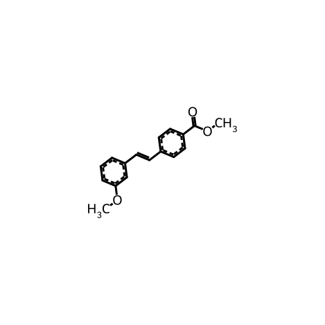 COC(=O)c1ccc(/C=C/c2cccc(OC)c2)cc1